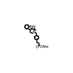 COC(=O)/C=C/c1ccc(CN2CCc3c([nH]c4ccccc34)C2(C)C)cc1